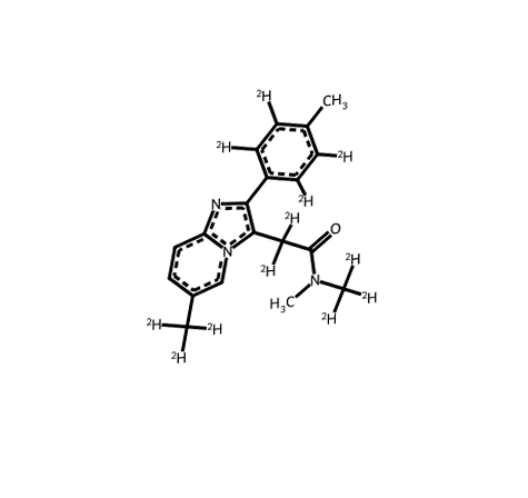 [2H]c1c([2H])c(-c2nc3ccc(C([2H])([2H])[2H])cn3c2C([2H])([2H])C(=O)N(C)C([2H])([2H])[2H])c([2H])c([2H])c1C